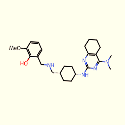 COc1cccc(CNC[C@H]2CC[C@@H](Nc3nc4c(c(N(C)C)n3)CCCC4)CC2)c1O